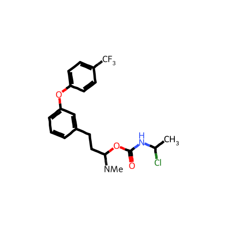 CNC(CCc1cccc(Oc2ccc(C(F)(F)F)cc2)c1)OC(=O)NC(C)Cl